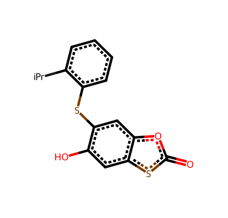 CC(C)c1ccccc1Sc1cc2oc(=O)sc2cc1O